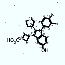 Cc1cc(-n2c([C@H]3CCOC3)c([C@H]3C[C@H](C(=O)O)C3)c3cc(O)ccc32)ccc1F